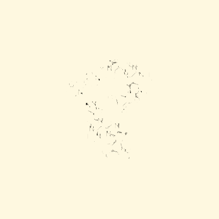 COc1cc(OCCn2cc(-c3nc(-c4cn(CCN5CCOCC5)nc4C)cnc3N)nc(-c3cc(OC)cc(OC)c3)c2=O)cc(-c2nc(-c3nc(-c4cnn(CCN5CCOCC5)c4C)cnc3N)cn(C)c2=O)c1